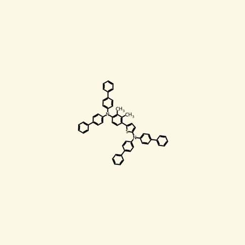 Cc1c(-c2ccc(N(c3ccc(-c4ccccc4)cc3)c3ccc(-c4ccccc4)cc3)s2)ccc(N(c2ccc(-c3ccccc3)cc2)c2ccc(-c3ccccc3)cc2)c1C